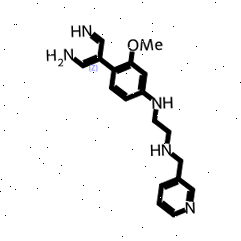 COc1cc(NCCNCc2cccnc2)ccc1/C(C=N)=C/N